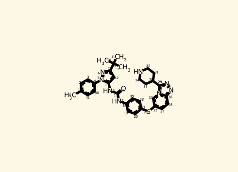 Cc1ccc(-n2nc(C(C)(C)C)cc2NC(=O)Nc2ccc(Sc3ccc4nnc(C5CCNCC5)n4c3)cc2)cc1